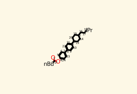 CCCCC(=O)Oc1ccc(-c2ccc(C3CCC(CCC(C)C)CC3)cc2)cc1